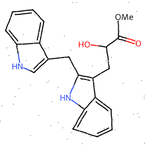 COC(=O)C(O)Cc1c(Cc2c[nH]c3ccccc23)[nH]c2ccccc12